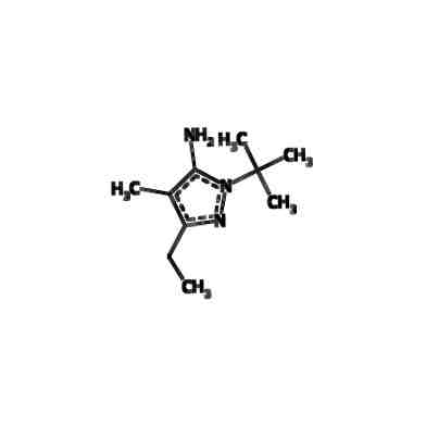 CCc1nn(C(C)(C)C)c(N)c1C